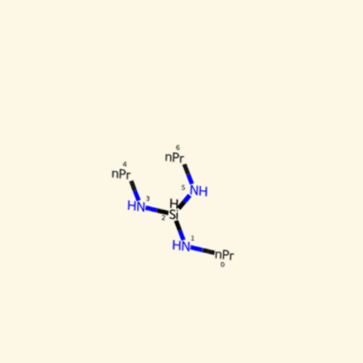 CCCN[SiH](NCCC)NCCC